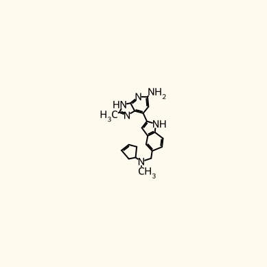 Cc1nc2c(-c3cc4cc(CN(C)C5CC=CC5)ccc4[nH]3)cc(N)nc2[nH]1